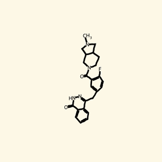 CN1CC2CCN(C(=O)c3cc(Cc4n[nH]c(=O)c5ccccc45)ccc3F)CC2C1